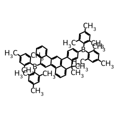 Cc1cc(C)c(B(c2ccc3c(c2)C(C)(C)c2cccc4c2c-3cc2c3ccccc3c(B(c3c(C)cc(C)cc3C)c3c(C)cc(C)cc3C)cc42)c2c(C)cc(C)cc2C)c(C)c1